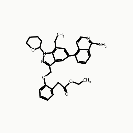 CCOC(=O)Cc1ccccc1OCc1nn(C2CCCCO2)c2c(CC)cc(-c3cccc4c(N)nccc34)cc12